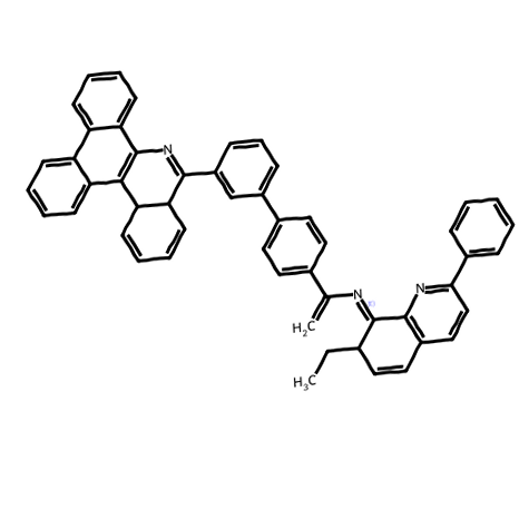 C=C(/N=C1/c2nc(-c3ccccc3)ccc2C=CC1CC)c1ccc(-c2cccc(C3=Nc4c(c5ccccc5c5ccccc45)C4C=CC=CC34)c2)cc1